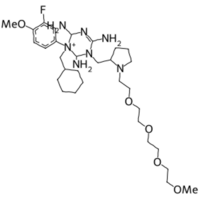 COCCOCCOCCOCCN1CCCC1CN1C(N)=NC(N)[N+](CC2CCCCC2)(c2ccc(OC)c(F)c2)C1N